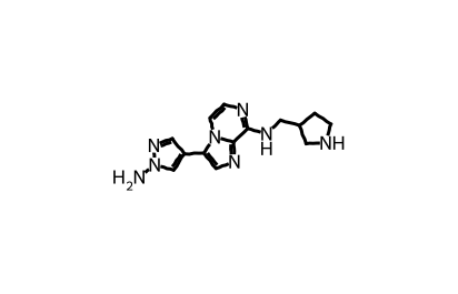 Nn1cc(-c2cnc3c(NCC4CCNC4)nccn23)cn1